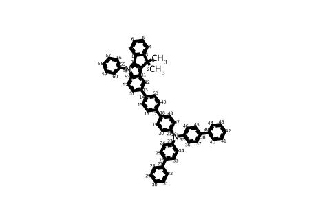 CC1(C)c2ccccc2-c2c1c1cc(-c3ccc(-c4ccc(N(c5ccc(-c6ccccc6)cc5)c5ccc(-c6ccccc6)cc5)cc4)cc3)ccc1n2-c1ccccc1